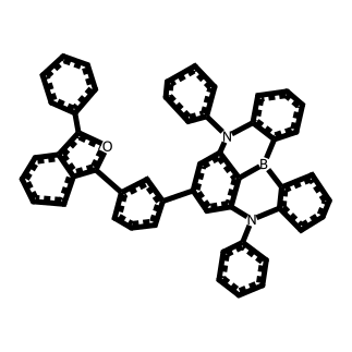 c1ccc(-c2oc(-c3cccc(-c4cc5c6c(c4)N(c4ccccc4)c4ccccc4B6c4ccccc4N5c4ccccc4)c3)c3ccccc23)cc1